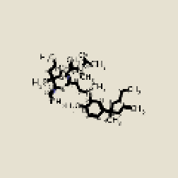 C=CCC(C)(CCCC)c1ccc(C)c(N(C)CC/C(=C\C(=C)N(C)C(C)=O)S/C(=C\C)C(C)(CC)CCC)c1